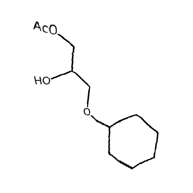 CC(=O)OCC(O)COC1CCCCC1